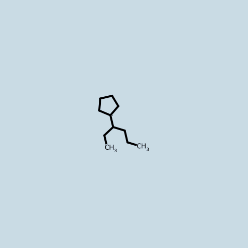 CCCC(CC)[C]1CCCC1